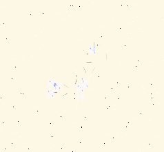 CCN(C)[C@@H](C)c1ccc(-c2n[nH]c(-c3cc(C)c4ncnn4c3)c2C(C)C)cc1